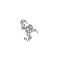 COc1ccc(N=C2C(=O)N3C(C)=CC=NC3=NC2Nc2ccc(OC)cc2)cc1